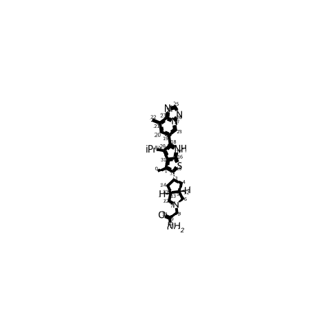 Cc1c([C@@H]2C[C@@H]3CN(CC(N)=O)C[C@@H]3C2)sc2[nH]c(-c3cc(C)c4ncnn4c3)c(C(C)C)c12